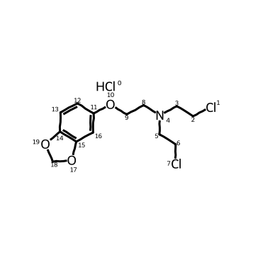 Cl.ClCCN(CCCl)CCOc1ccc2c(c1)OCO2